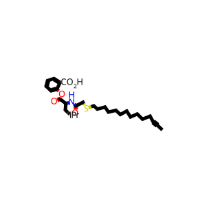 CC#CCCCCCCCCCCCSCC(=O)NC(CC(C)C)C(=O)Oc1ccccc1C(=O)O